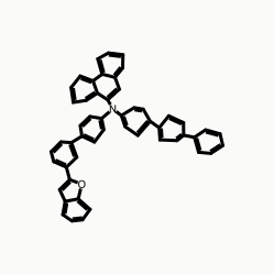 c1ccc(-c2ccc(-c3ccc(N(c4ccc(-c5cccc(-c6cc7ccccc7o6)c5)cc4)c4cc5ccccc5c5ccccc45)cc3)cc2)cc1